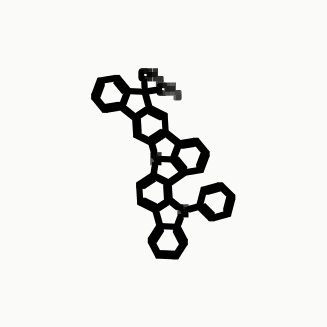 CC1(C)c2ccccc2-c2cc3c(cc21)c1cccc2c4c5c(ccc4n3c12)c1ccccc1n5-c1ccccc1